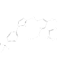 CNC(=O)C(=NOC)C(C)=CCOc1ccn(-c2ccc(C(F)(F)F)cc2)n1